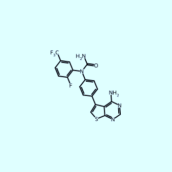 NC(=O)N(c1ccc(-c2csc3ncnc(N)c23)cc1)c1cc(C(F)(F)F)ccc1F